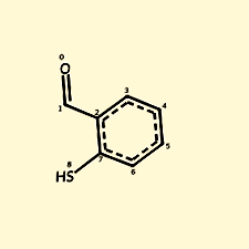 O=Cc1ccccc1S